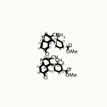 COC(=O)[C@@H]1CCN(c2c(C#N)cnc3ccc(Cl)cc23)[C@@H](C)C1.COC(=O)[C@H]1CCN(c2c(C#N)cnc3ccc(Cl)cc23)[C@@H](C)C1